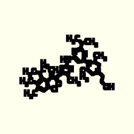 Cc1cc(Cl)c(N(C)C(=O)c2sc(Nc3cc(N4C(C)CN(CCO)CC4C)nc(C(C)C)n3)nc2C)c(C(C)C)c1C